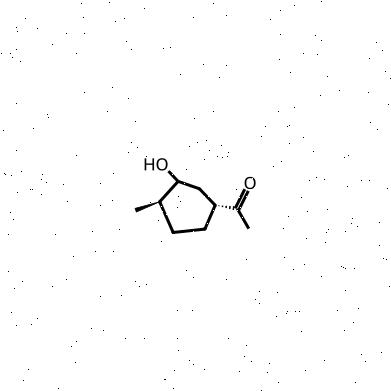 CC(=O)[C@@H]1CC[C@@H](C)C(O)C1